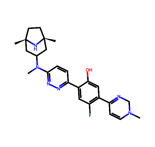 CN1C=CC(c2cc(O)c(-c3ccc(N(C)C4C[C@]5(C)CC[C@](C)(C4)N5)nn3)cc2F)=NC1